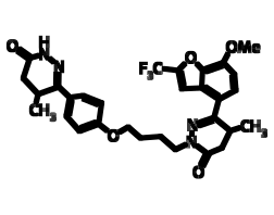 COc1ccc(C2=NN(CCCCOc3ccc(C4=NNC(=O)CC4C)cc3)C(=O)CC2C)c2cc(C(F)(F)F)oc12